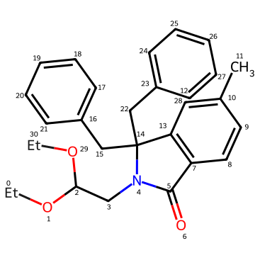 CCOC(CN1C(=O)c2ccc(C)cc2C1(Cc1ccccc1)Cc1ccccc1)OCC